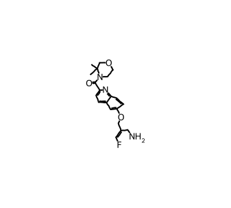 CC1(C)COCCN1C(=O)c1ccc2cc(OC/C(=C/F)CN)ccc2n1